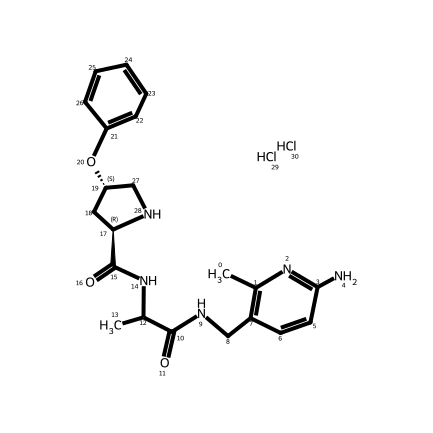 Cc1nc(N)ccc1CNC(=O)C(C)NC(=O)[C@H]1C[C@H](Oc2ccccc2)CN1.Cl.Cl